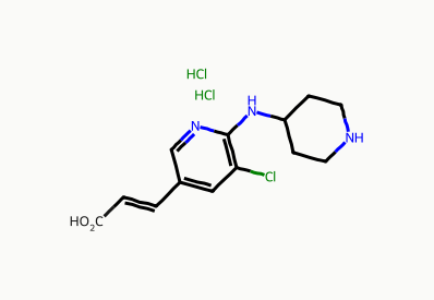 Cl.Cl.O=C(O)/C=C/c1cnc(NC2CCNCC2)c(Cl)c1